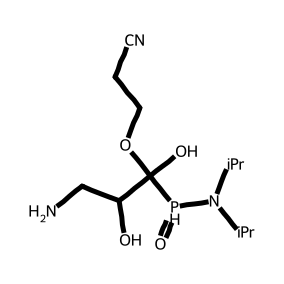 CC(C)N(C(C)C)[PH](=O)C(O)(OCCC#N)C(O)CN